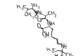 CC(C)C(N)C(=O)N[C@@H](C)C(=O)N[C@@H](CCCCNC(C)(C)C)C(=O)O